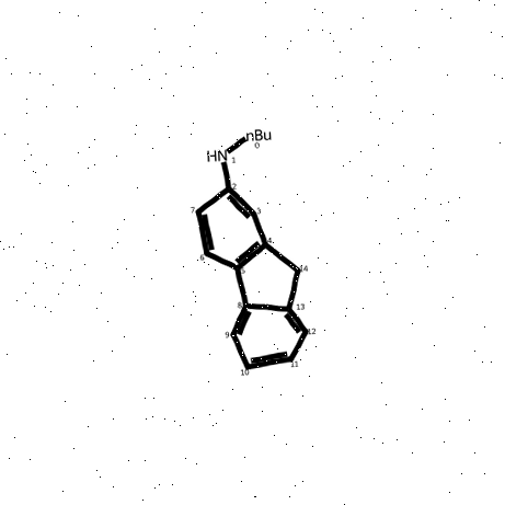 CCCCNc1[c]c2c(cc1)-c1ccccc1C2